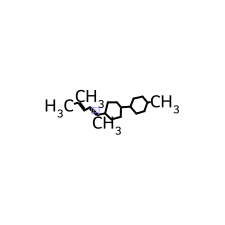 CC(C)=C/C=C(\C)C1CCC(C2CCC(C)CC2)CC1